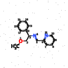 COCC(/N=C/c1ccccn1)c1ccccc1